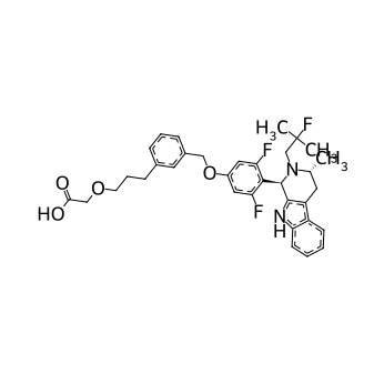 C[C@@H]1Cc2c([nH]c3ccccc23)[C@@H](c2c(F)cc(OCc3cccc(CCCOCC(=O)O)c3)cc2F)N1CC(C)(C)F